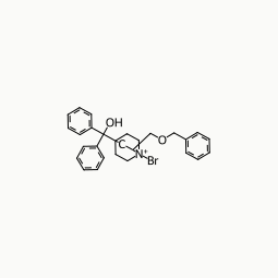 OC(c1ccccc1)(c1ccccc1)C12CC[N+](Br)(CC1)C(COCc1ccccc1)C2